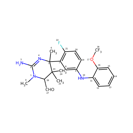 CN1C(N)=NC(C)(c2cc(Nc3ccccc3OC(F)(F)F)ccc2F)C(C)(C)C1C=O